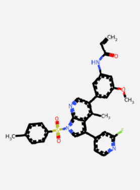 C=CC(=O)Nc1cc(OC)cc(-c2cnc3c(c(-c4ccnc(F)c4)cn3S(=O)(=O)c3ccc(C)cc3)c2C)c1